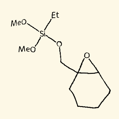 CC[Si](OC)(OC)OCC12CCCCC1O2